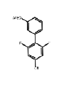 COc1[c]ccc(-c2c(F)cc(C#N)cc2F)c1